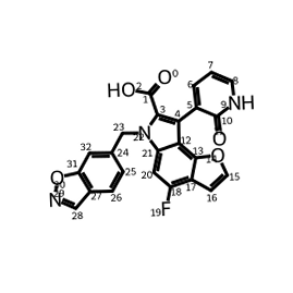 O=C(O)c1c(-c2ccc[nH]c2=O)c2c3occc3c(F)cc2n1Cc1ccc2cnoc2c1